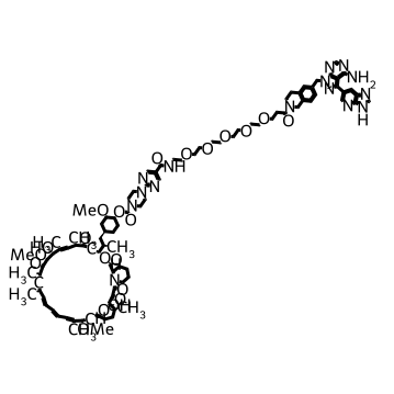 CO[C@H]1C[C@@H]2CC[C@@H](C)[C@@](O)(O2)C(=O)C(=O)N2CCCC[C@H]2C(=O)O[C@H]([C@H](C)C[C@@H]2CC[C@@H](OC(=O)N3CCN(c4ncc(C(=O)NCCOCCOCCOCCOCCOCCC(=O)N5CCc6cc(Cn7nc(-c8cnc9[nH]cnc9c8)c8c(N)ncnc87)ccc6C5)cn4)CC3)[C@H](OC)C2)CC(=O)[C@H](C)/C=C(\C)[C@@H](O)[C@@H](OC)C(=O)[C@H](C)C[C@H](C)/C=C/C=C/C=C/1C